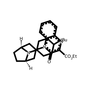 CCOC(=O)c1nc2ccccc2n(C2C[C@H]3CC[C@@H](C2)N3C2CCC(C(C)(C)C)CC2)c1=O